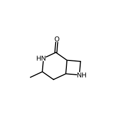 CC1CC2NCC2C(=O)N1